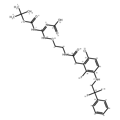 CC(C)(C)OC(=O)NC(=NC(=O)O)NOCCNC(=O)Cc1c(Cl)ccc(NCC(F)(F)c2ccccc2)c1F